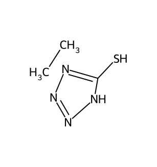 CC.Sc1nnn[nH]1